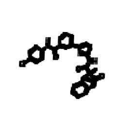 CC1(C(=O)Nc2nc(-c3cccc(C(=O)Nc4ccc(Cl)cc4)c3)cs2)CC2C(=O)CC1c1ccccc12